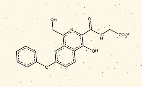 O=C(O)CNC(=O)c1nc(CO)c2cc(Oc3ccccc3)ccc2c1O